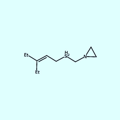 CCC(=CC[SiH2]CN1CC1)CC